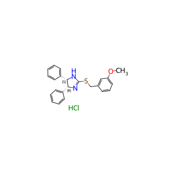 COc1cccc(CSC2=N[C@H](c3ccccc3)[C@H](c3ccccc3)N2)c1.Cl